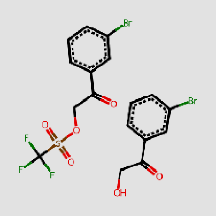 O=C(CO)c1cccc(Br)c1.O=C(COS(=O)(=O)C(F)(F)F)c1cccc(Br)c1